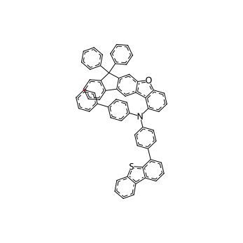 c1ccc(-c2ccc(N(c3ccc(-c4cccc5c4sc4ccccc45)cc3)c3cccc4oc5cc6c(cc5c34)-c3ccccc3C6(c3ccccc3)c3ccccc3)cc2)cc1